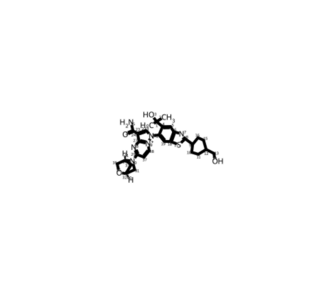 CC(C)(O)c1cc2nc(C3CCC(CO)CC3)sc2cc1-n1cc(C(N)=O)c2nc(N3C[C@H]4C[C@@H]3CO4)cc[n+]21